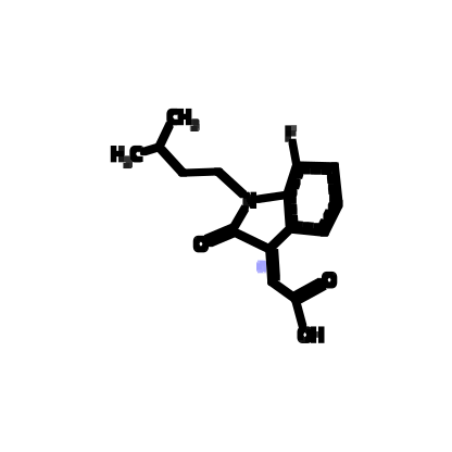 CC(C)CCN1C(=O)/C(=C/C(=O)O)c2cccc(F)c21